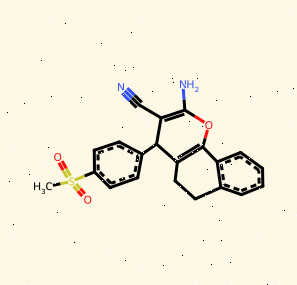 CS(=O)(=O)c1ccc(C2C(C#N)=C(N)OC3=C2CCc2ccccc23)cc1